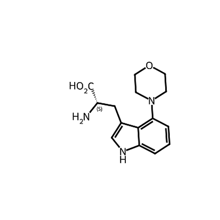 N[C@@H](Cc1c[nH]c2cccc(N3CCOCC3)c12)C(=O)O